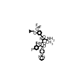 C[C@H](N)c1oc(-c2ccc(OC(F)F)c(OCC3CC3)c2)nc1C(=O)NC(C(=O)N1CCN(c2ncccn2)CC1)c1ccc(F)cc1F